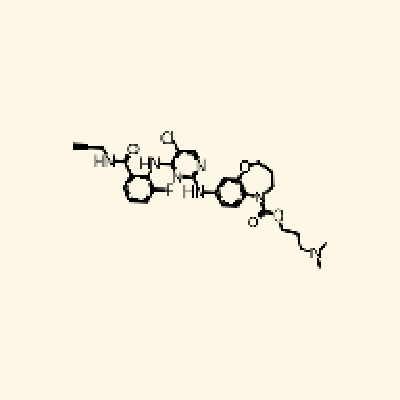 C#CCNC(=O)c1cccc(F)c1Nc1nc(Nc2ccc3c(c2)OCCCN3C(=O)OCCCN(C)C)ncc1Cl